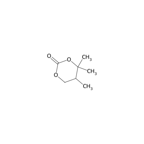 CC1COC(=O)OC1(C)C